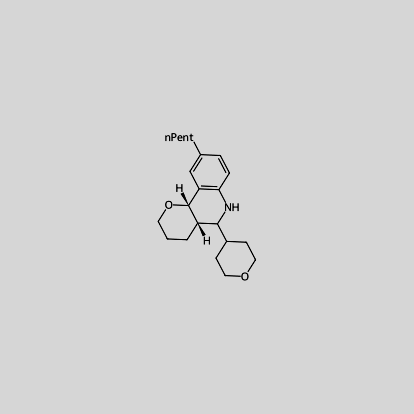 CCCCCc1ccc2c(c1)[C@H]1OCCC[C@H]1C(C1CCOCC1)N2